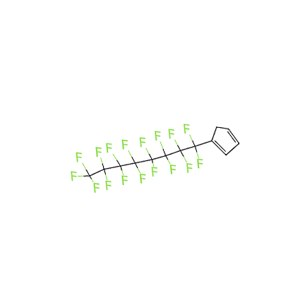 FC(F)(F)C(F)(F)C(F)(F)C(F)(F)C(F)(F)C(F)(F)C(F)(F)C(F)(F)C1=CC=CC1